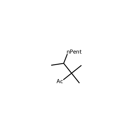 CCCCCC(C)C(C)(C)C(C)=O